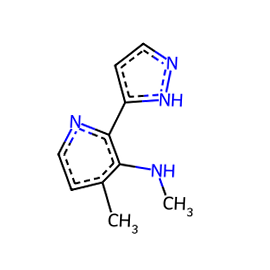 CNc1c(C)ccnc1-c1ccn[nH]1